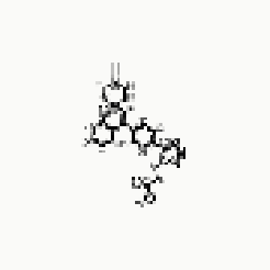 COC(=O)CCn1nnnc1-c1ccc(C2=CC3(CCNCC3)Oc3ccccc32)cc1